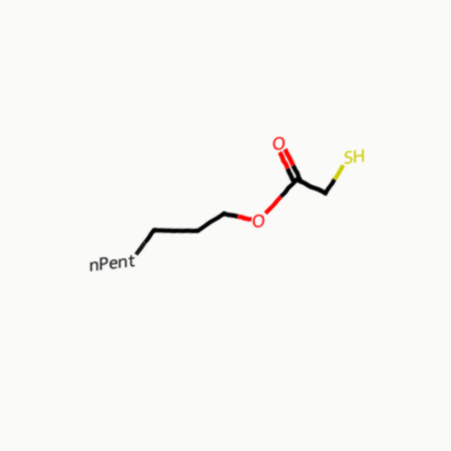 CCCCCCCCOC(=O)CS